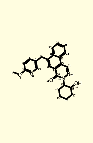 COc1ccc(Cc2cc3c(=O)n(C4CCCCC4O)ncc3c3ccccc23)cn1